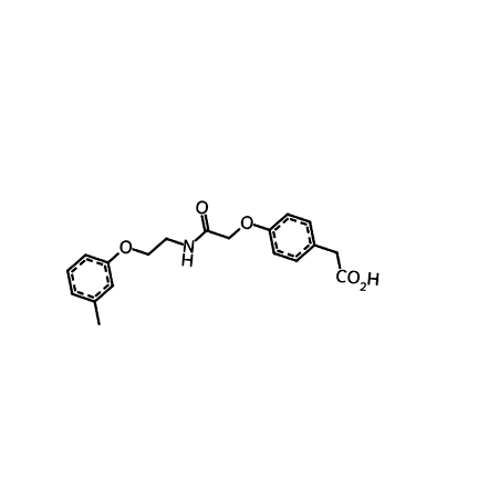 Cc1cccc(OCCNC(=O)COc2ccc(CC(=O)O)cc2)c1